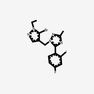 CCn1ncc(Cn2nc(C)nc2-c2ccc(F)cc2I)c1Br